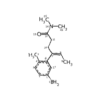 Bc1ccc(C)c(/C(=C\C)CCC(=O)N(C)C)c1